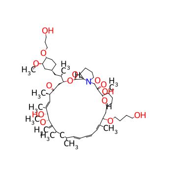 C=C1[C@H](C)C[C@H](C)/C=C/C=C/C=C(\C)C(OCCCCO)C[C@@H]2CC[C@@H](C)[C@@](O)(O2)C(=O)C(=O)N2CCCC[C@H]2C(=O)O[C@H]([C@H](C)C[C@@H]2CC[C@@H](OCCCO)[C@H](OC)C2)CC(=O)[C@H](C)/C=C(\C)[C@@H](O)[C@H]1OC